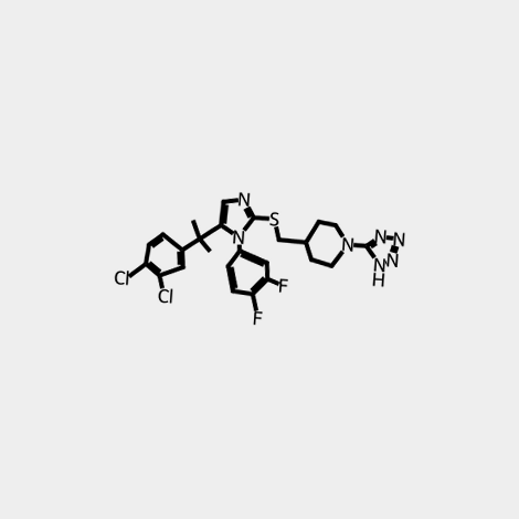 CC(C)(c1ccc(Cl)c(Cl)c1)c1cnc(SCC2CCN(c3nnn[nH]3)CC2)n1-c1ccc(F)c(F)c1